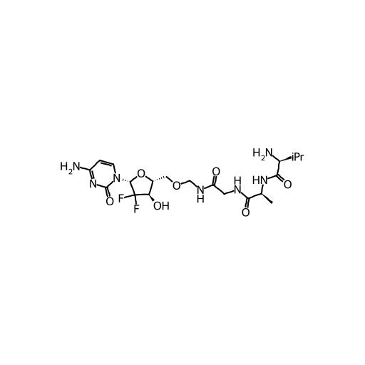 CC(C)[C@H](N)C(=O)N[C@@H](C)C(=O)NCC(=O)NCOC[C@H]1O[C@@H](n2ccc(N)nc2=O)C(F)(F)[C@@H]1O